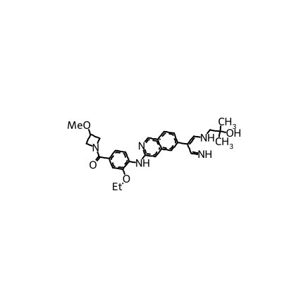 CCOc1cc(C(=O)N2CC(OC)C2)ccc1Nc1cc2cc(/C(C=N)=C/NCC(C)(C)O)ccc2cn1